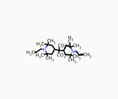 C=CCN1C(C)(C)CC(C(C(=O)O)(C(=O)O)C2CC(C)(C)N(CC=C)C(C)(C)C2)CC1(C)C